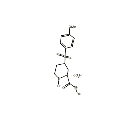 COc1ccc(S(=O)(=O)C2CCN(O)[C@](C(=O)O)(C(=O)NO)C2)cc1